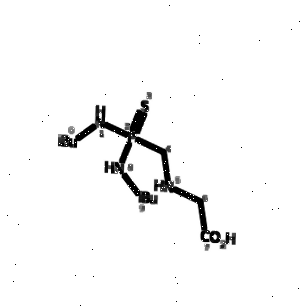 CCC(C)NP(=S)(CNCC(=O)O)NC(C)CC